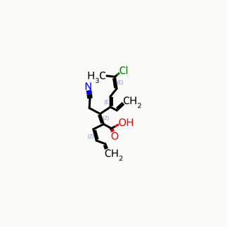 C=C\C=C/C(C(=O)O)=C(CC#N)/C(C=C)=C/C=C(\C)Cl